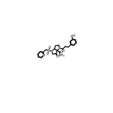 NC(=O)C12C(=O)CN(S(=O)(=O)Cc3ccccn3)C1CCN2C(=O)[CH]Cc1cccc(O)c1